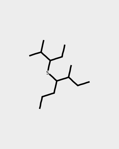 CCCC(SC(CC)C(C)C)C(C)CC